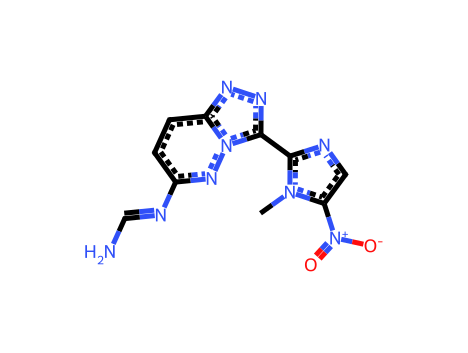 Cn1c([N+](=O)[O-])cnc1-c1nnc2ccc(N=CN)nn12